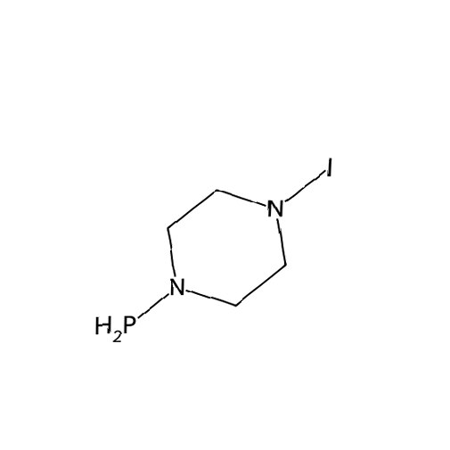 PN1CCN(I)CC1